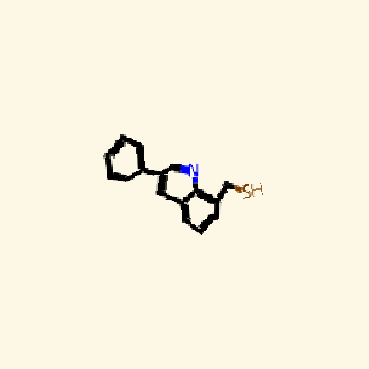 SCc1cccc2cc(-c3ccccc3)cnc12